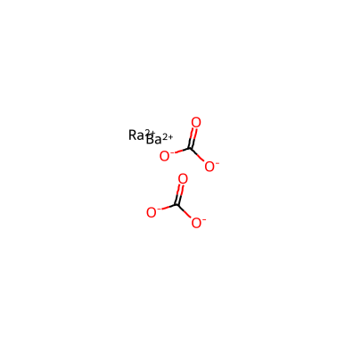 O=C([O-])[O-].O=C([O-])[O-].[Ba+2].[Ra+2]